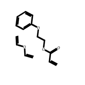 C=CC(=O)OCCOc1ccccc1.C=COC=C